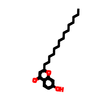 CCCCCCCCCCCCCCCc1cc(=O)c2ccc(O)cc2o1